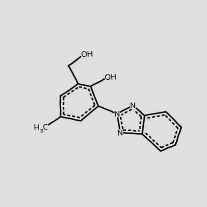 Cc1cc(CO)c(O)c(-n2nc3ccccc3n2)c1